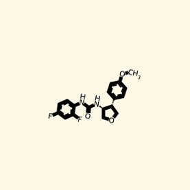 COc1ccc([C@@H]2COC[C@@H]2NC(=O)Nc2ccc(F)cc2F)cc1